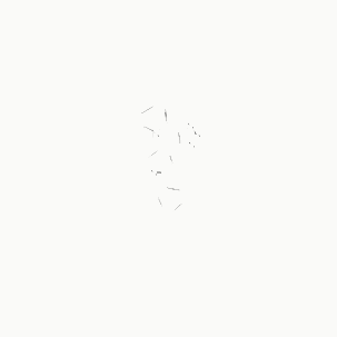 Cc1cccc(-c2nn[nH]c2-c2ccnc(-c3ccc(F)cc3)c2)n1